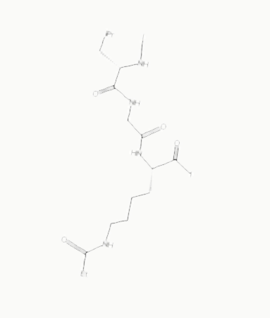 CCC(=O)NCCCC[C@H](NC(=O)CNC(=O)[C@H](CC(C)C)NI)C(=O)I